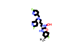 Cc1cc(N[C@H](CCCCN(Cc2ccc(F)nc2)Cc2ccc(F)nc2)C(=O)NO)ccc1F